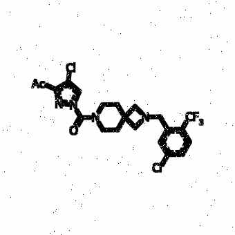 CC(=O)c1nn(C(=O)N2CCC3(CC2)CN(Cc2cc(Cl)ccc2C(F)(F)F)C3)cc1Cl